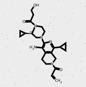 C=CC(=O)N1CCc2c(N)c(N3CCN(C(=O)CCO)[C@H](C4CC4)C3)nc(C3CC3)c2C1